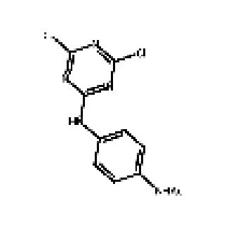 CC(=O)Nc1ccc(Nc2nc(Cl)nc(Cl)n2)cc1